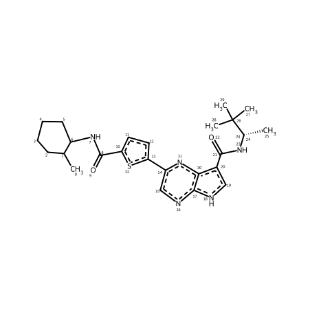 CC1CCCCC1NC(=O)c1ccc(-c2cnc3[nH]cc(C(=O)N[C@@H](C)C(C)(C)C)c3n2)s1